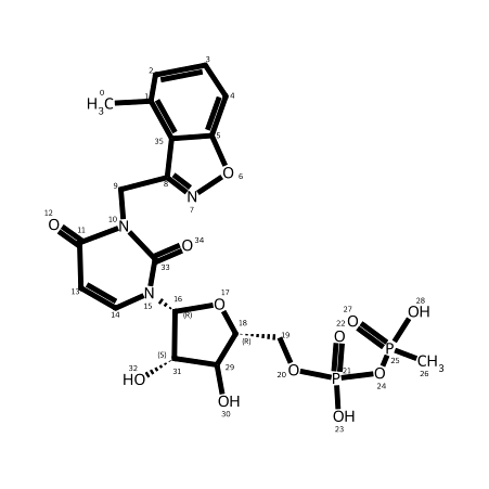 Cc1cccc2onc(Cn3c(=O)ccn([C@@H]4O[C@H](COP(=O)(O)OP(C)(=O)O)C(O)[C@@H]4O)c3=O)c12